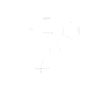 CC(C)(C)[Si](OCCC(F)(F)C(=O)O)(c1ccccc1)c1ccccc1.[NaH]